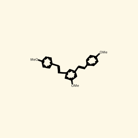 COc1ccc(C=Cc2cc(C=Cc3ccc(OC)cc3)cc(OC)c2)cc1